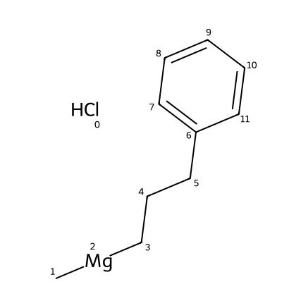 Cl.[CH3][Mg][CH2]CCc1ccccc1